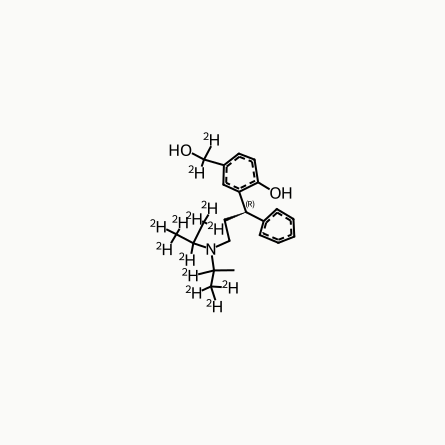 [2H]C([2H])(O)c1ccc(O)c([C@H](CCN(C([2H])(C)C([2H])([2H])[2H])C([2H])(C([2H])([2H])[2H])C([2H])([2H])[2H])c2ccccc2)c1